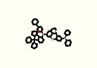 c1ccc(-c2ccc(N(c3cc4c5c(cccc5c3)-c3cc(N(c5ccccc5)c5ccccc5)ccc3O4)c3cccc4c3-c3ccccc3C4(c3ccccc3)c3ccccc3)cc2)cc1